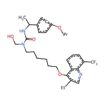 CCc1cnc2c(C(F)(F)F)cccc2c1OCCCCCCN(CO)C(=O)NC(C)c1ccc(OC(C)C)cc1